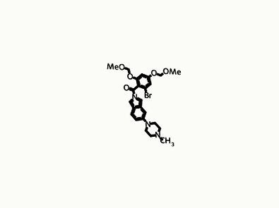 COCOc1cc(Br)c(C(=O)n2cc3ccc(N4CCN(C)CC4)cc3c2)c(OCOC)c1